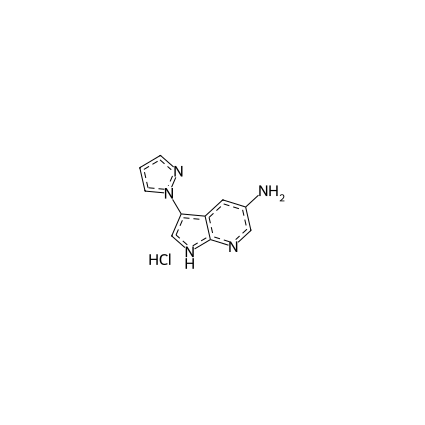 Cl.Nc1cnc2[nH]cc(-n3cccn3)c2c1